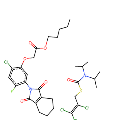 CC(C)N(C(=O)SCC(Cl)=C(Cl)Cl)C(C)C.CCCCCOC(=O)COc1cc(N2C(=O)C3=C(CCCC3)C2=O)c(F)cc1Cl